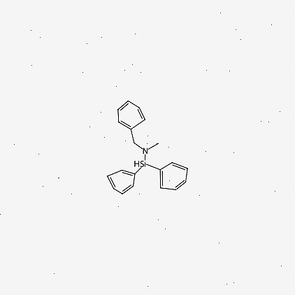 CN(Cc1ccccc1)[SiH](c1ccccc1)c1ccccc1